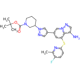 Cc1nc(Sc2cc(-c3cnn(C4CCCN(C(=O)OC(C)(C)C)C4)c3)cn3ncc(N)c23)ccc1F